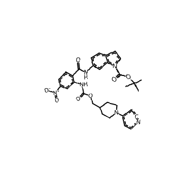 CC(C)(C)OC(=O)n1ccc2ccc(NC(=O)c3ccc([N+](=O)[O-])cc3NC(=O)OCC3CCN(c4ccncc4)CC3)cc21